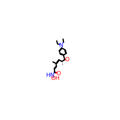 CCN(CC)c1ccc(C(=O)[C@H](C)C=C(C)C=CC(=O)NO)cc1